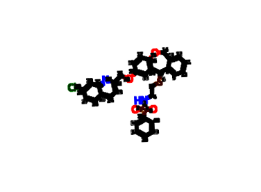 O=S(=O)(NCCSC1c2ccccc2COc2ccc(OCc3ccc4ccc(Cl)cc4n3)cc21)c1ccccc1